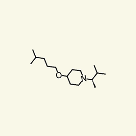 CC(C)CCCOC1CCN([C@H](C)C(C)C)CC1